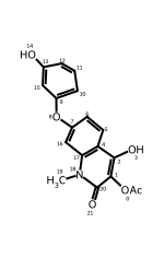 CC(=O)Oc1c(O)c2ccc(Oc3cccc(O)c3)cc2n(C)c1=O